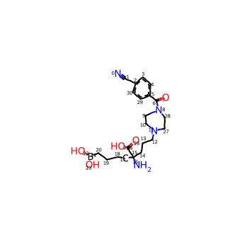 N#Cc1ccc(C(=O)N2CCN(CCCC(N)(CCCCB(O)O)C(=O)O)CC2)cc1